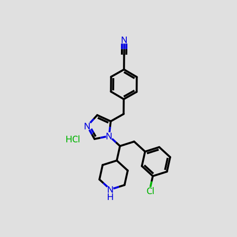 Cl.N#Cc1ccc(Cc2cncn2C(Cc2cccc(Cl)c2)C2CCNCC2)cc1